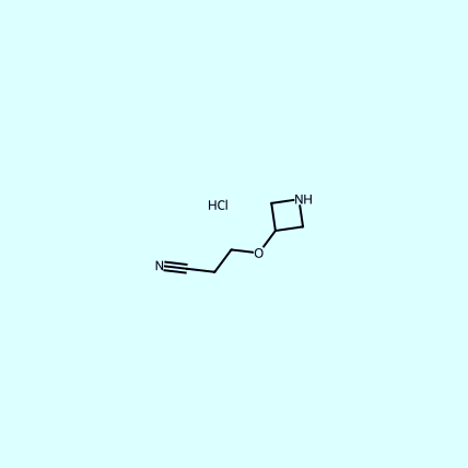 Cl.N#CCCOC1CNC1